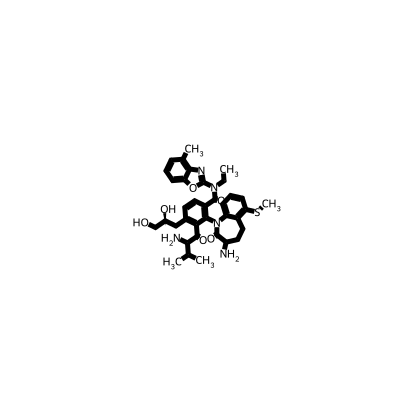 CCN(C(=O)c1ccc(C[C@H](O)CO)c(C(=O)C(N)C(C)C)c1N1C(=O)C(N)CCc2c(SC)cccc21)c1nc2c(C)cccc2o1